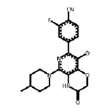 CC1CCN(c2nc(-c3ccc(C#N)c(F)c3)c(Br)c3c2NC(=O)CO3)CC1